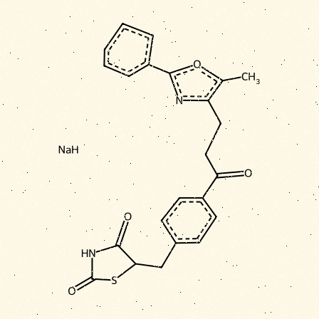 Cc1oc(-c2ccccc2)nc1CCC(=O)c1ccc(CC2SC(=O)NC2=O)cc1.[NaH]